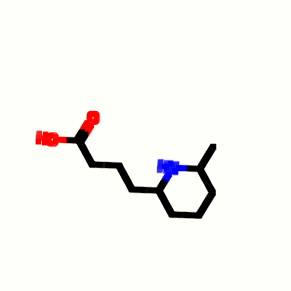 CC1CCCC(CCCC(=O)O)N1